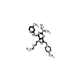 CCOCCn1nc(CN2CCN(C)CC2)c2nc(N(C)C)nc(Nc3cc(C)ccn3)c21